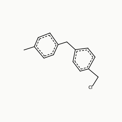 Cc1ccc(Cc2ccc(CCl)cc2)cc1